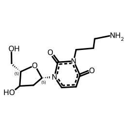 NCCCn1c(=O)ccn([C@@H]2CC(O)[C@H](CO)O2)c1=O